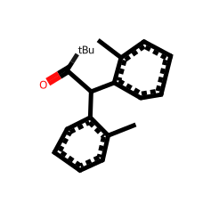 Cc1ccccc1C(C(=O)C(C)(C)C)c1ccccc1C